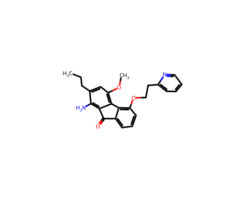 CCCc1cc(OC)c2c(c1N)C(=O)c1cccc(OCCc3ccccn3)c1-2